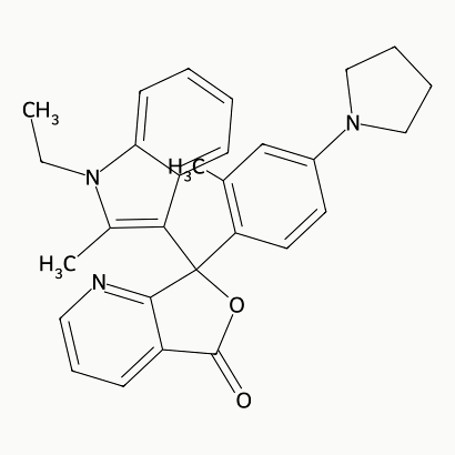 CCn1c(C)c(C2(c3ccc(N4CCCC4)cc3C)OC(=O)c3cccnc32)c2ccccc21